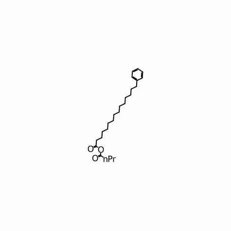 CCCC(=O)OC(=O)CCCCCCCCCCCCCCc1ccccc1